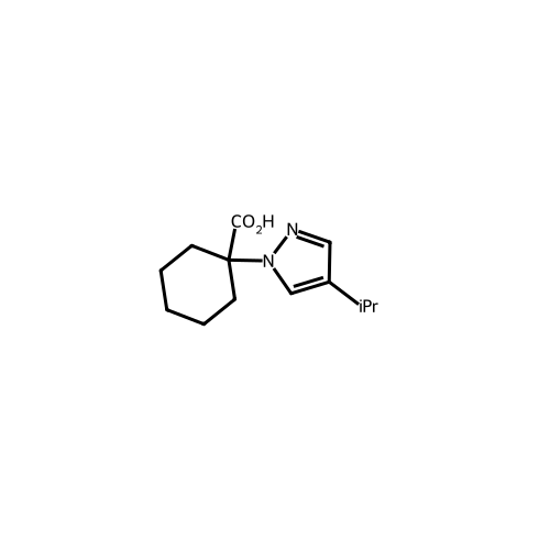 CC(C)c1cnn(C2(C(=O)O)CCCCC2)c1